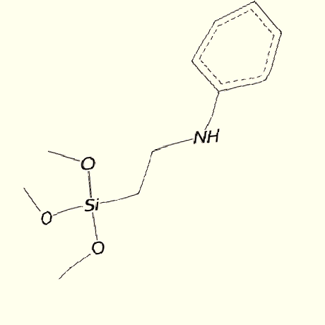 CO[Si](CCNc1ccccc1)(OC)OC